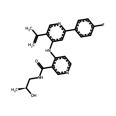 C=C(C)c1cnc(-c2ccc(F)cc2)cc1Nc1ccncc1C(=O)NC[C@H](C)O